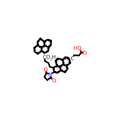 CCCC(=O)O.O=C(O)CCCc1c(N2C(=O)CCC2=O)cc2ccc3cccc4ccc1c2c34.c1cc2ccc3cccc4ccc(c1)c2c34